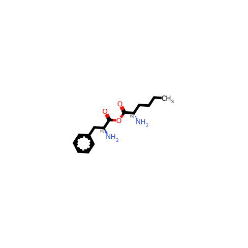 CCCC[C@H](N)C(=O)OC(=O)[C@@H](N)Cc1ccccc1